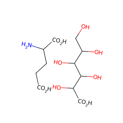 NC(CCC(=O)O)C(=O)O.O=C(O)C(O)C(O)C(O)C(O)CO